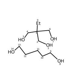 CCC(CO)(CO)CO.OCCCCCO